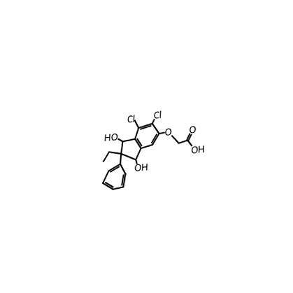 CCC1(c2ccccc2)C(O)c2cc(OCC(=O)O)c(Cl)c(Cl)c2C1O